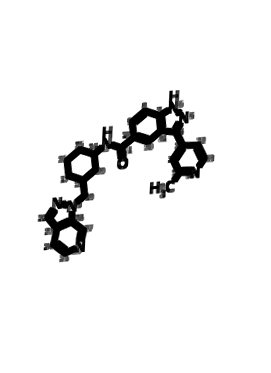 Cc1cc(-c2n[nH]c3ccc(C(=O)NC4CCCC(Cn5ncc6ccncc65)C4)cc23)ccn1